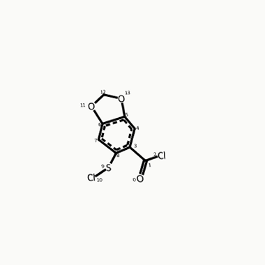 O=C(Cl)c1cc2c(cc1SCl)OCO2